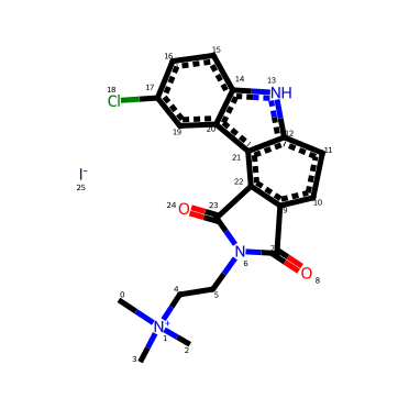 C[N+](C)(C)CCN1C(=O)c2ccc3[nH]c4ccc(Cl)cc4c3c2C1=O.[I-]